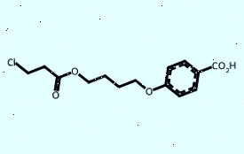 O=C(CCCl)OCCCCOc1ccc(C(=O)O)cc1